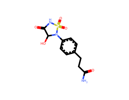 NC(=O)CCc1ccc(N2C(O)C(=O)NS2(=O)=O)cc1